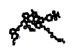 C=C=C/C=C\c1c(C)cccc1OCCCc1c(C(=O)OC(C)(C)C)n(CCN2CCN(CCOCCOCCN)CC2)c2c(-c3c(C)nn(C)c3COc3ccc(N4CCN(S(=O)(=O)N(C)C)CC4)cc3)cccc12